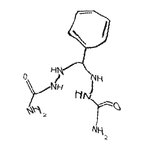 NC(=O)NNC(NNC(N)=O)c1ccccc1